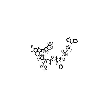 CO[C@@]1(C)C(=O)OCc2c1cc1n(c2=O)Cc2c-1nc1cc(F)c(C)c3c1c2[C@@H](NC(=O)[C@H](CCC(=O)OC(C)(C)C)NC(=O)CNC(=O)CNC(=O)[C@H](Cc1ccccc1)NC(=O)CNC(=O)CNC(=O)OCC1c2ccccc2-c2ccccc21)CC3